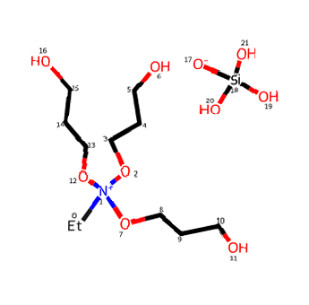 CC[N+](OCCCO)(OCCCO)OCCCO.[O-][Si](O)(O)O